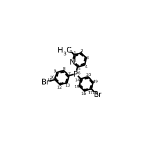 Cc1cccc(P(c2ccc(Br)cc2)c2ccc(Br)cc2)n1